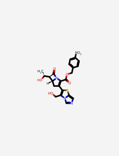 C[C@@H](O)[C@H]1C(=O)N2C(C(=O)OCc3ccc([N+](=O)[O-])cc3)=C(c3sc4cncn4c3CO)C[C@H]12